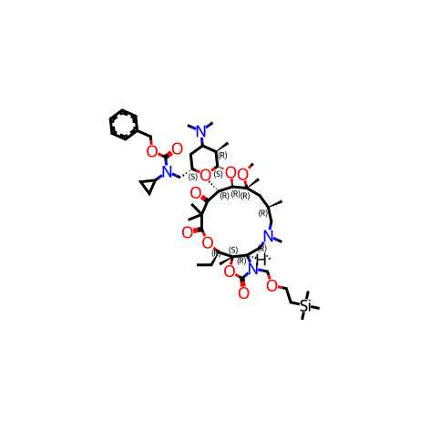 CC[C@H]1OC(=O)C(C)(C)C(=O)[C@H](C)[C@@H](O[C@@H]2O[C@H](CN(C(=O)OCc3ccccc3)C3CC3)CC(N(C)C)[C@H]2C)[C@](C)(OC)C[C@@H](C)CN(C)[C@H](C)[C@H]2N(COCC[Si](C)(C)C)C(=O)O[C@]12C